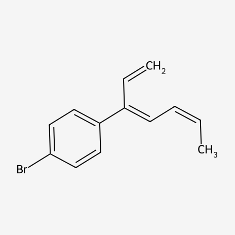 C=C/C(=C\C=C/C)c1ccc(Br)cc1